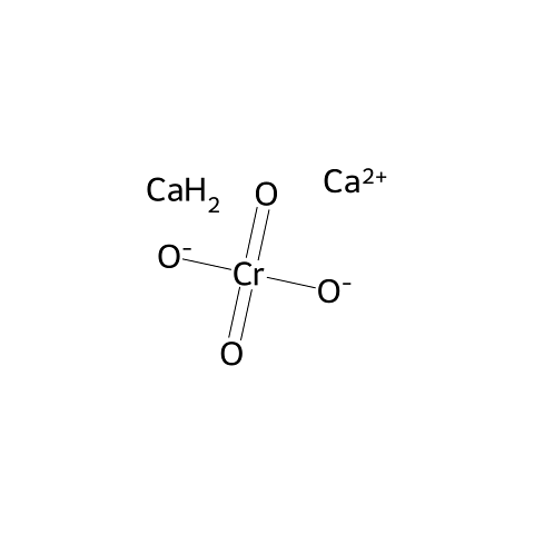 [Ca+2].[CaH2].[O]=[Cr](=[O])([O-])[O-]